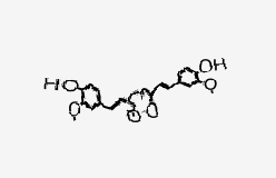 COc1cc(/C=C/C(=O)C[S+]([O-])/C=C/c2ccc(O)c(OC)c2)ccc1O